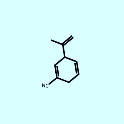 C=C(C)C1C=CCC(C#N)=C1